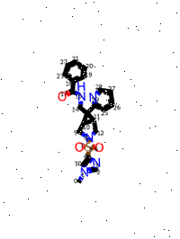 Cn1cnc(S(=O)(=O)N2CC3C(C2)C3(CNC(=O)c2ccccc2)c2ccccn2)c1